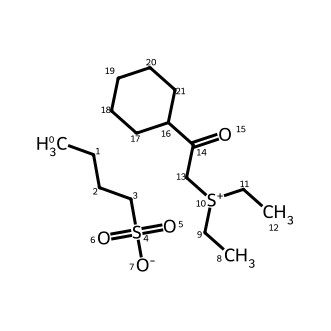 CCCCS(=O)(=O)[O-].CC[S+](CC)CC(=O)C1CCCCC1